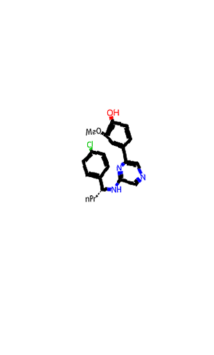 CCC[C@@H](Nc1cncc(-c2ccc(O)c(OC)c2)n1)c1ccc(Cl)cc1